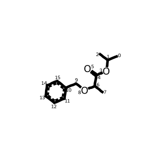 CC(C)OC(=O)C(C)OCc1ccccc1